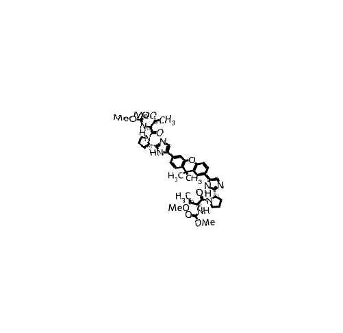 COC(=O)N[C@H](C(=O)N1CCC[C@H]1c1ncc(-c2ccc3c(c2)Oc2ccc(-c4cnc([C@@H]5CCCN5C(=O)[C@@H](NC(=O)OC)[C@H](C)OC)[nH]4)cc2C3(C)C)[nH]1)[C@H](C)OC